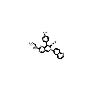 O=C=C1C(c2ccc(O)cc2)=c2nc(NCC(F)(F)F)ncc2=CN1c1ccc2ncccc2c1